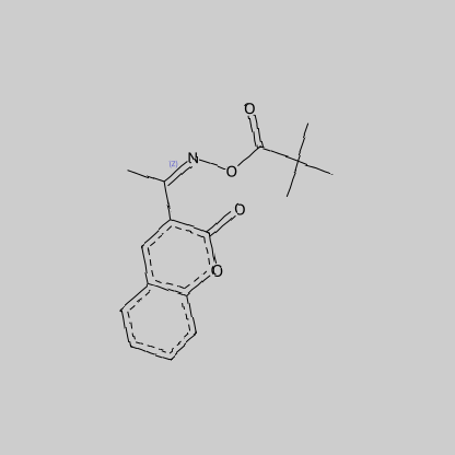 C/C(=N/OC(=O)C(C)(C)C)c1cc2ccccc2oc1=O